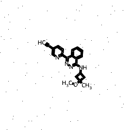 C#Cc1ccc(-c2nnc(NC3CC(C)(OC)C3)c3ccccc23)nc1